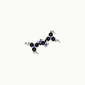 CCN(CC)c1cc(C=Cc2ccc(N(c3ccc(C)cc3)c3ccc(C)cc3)cc2)c(N(CC)CC)cc1C=Cc1ccc(N(c2ccc(C)cc2)c2ccc(C)cc2)cc1